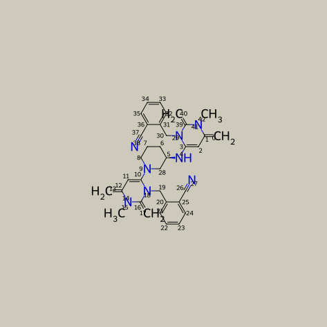 C=C1C=C(N[C@@H]2CCCN(C3=CC(=C)N(C)C(=C)N3Cc3ccccc3C#N)C2)N(Cc2ccccc2C#N)C(=C)N1C